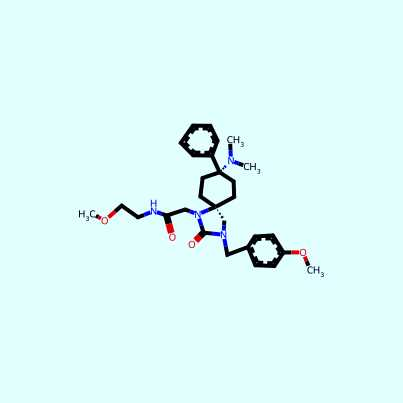 COCCNC(=O)CN1C(=O)N(Cc2ccc(OC)cc2)C[C@]12CC[C@@](c1ccccc1)(N(C)C)CC2